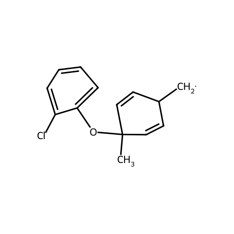 [CH2]C1C=CC(C)(Oc2ccccc2Cl)C=C1